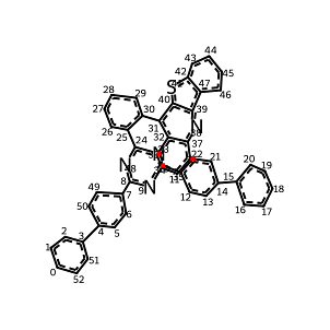 c1ccc(-c2ccc(-c3nc(-c4ccc(-c5ccccc5)cc4)nc(-c4ccccc4-c4c5ccccc5nc5c4sc4ccccc45)n3)cc2)cc1